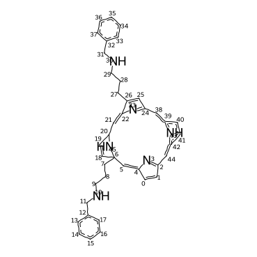 C1=CC2=NC1=CC1(CCCNCc3ccccc3)C=CC(C=C3N=C(C=C3CCCNCc3ccccc3)C=c3ccc([nH]3)=C2)N1